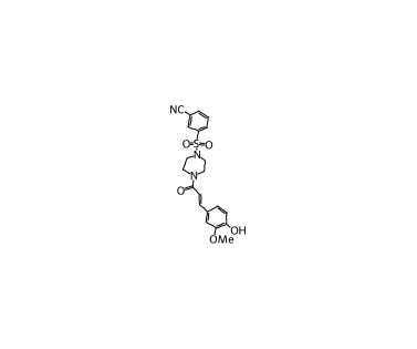 COc1cc(/C=C/C(=O)N2CCN(S(=O)(=O)c3cccc(C#N)c3)CC2)ccc1O